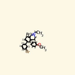 CCN1CC[C@@]2(c3cccc(OC)c3)CC(c3cccc(Br)c3)=CC[C@@H]2C1